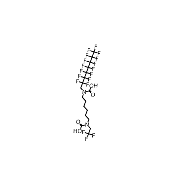 O=C(O)N(CCCCCCN(CC(F)(F)C(F)(F)C(F)(F)C(F)(F)C(F)(F)C(F)(F)C(F)(F)F)C(=O)O)CC(F)(F)F